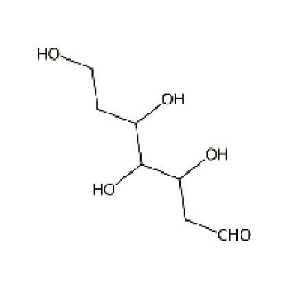 O=CCC(O)C(O)C(O)CCO